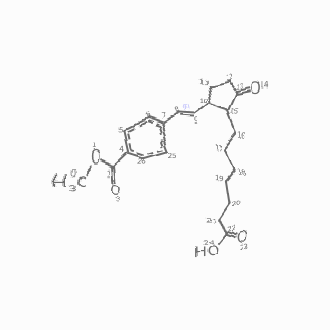 COC(=O)c1ccc(/C=C/C2CCC(=O)C2CCCCCCC(=O)O)cc1